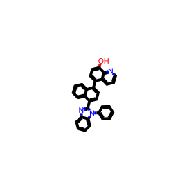 Oc1ccc(-c2ccc(-c3nc4ccccc4n3-c3ccccc3)c3ccccc23)c2cccnc12